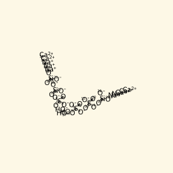 O=S(=O)([O-])[O-].O=S(=O)([O-])[O-].O=S(=O)([O-])[O-].O=[Si]([O-])[O-].O=[Si]([O-])[O-].O=[Si]([O-])[O-].[Ca+2].[Ca+2].[Ca+2].[Ca+2].[Ca+2].[Na+].[Na+].[Na+].[Na+].[Na+].[OH-].[OH-].[OH-]